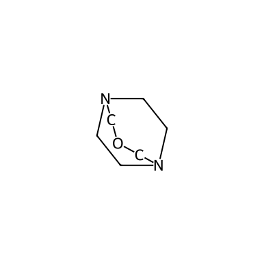 C1CN2CCN1COC2